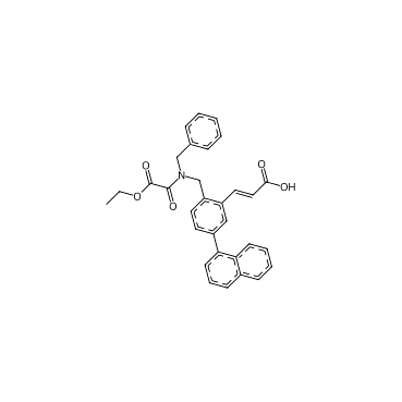 CCOC(=O)C(=O)N(Cc1ccccc1)Cc1ccc(-c2cccc3ccccc23)cc1C=CC(=O)O